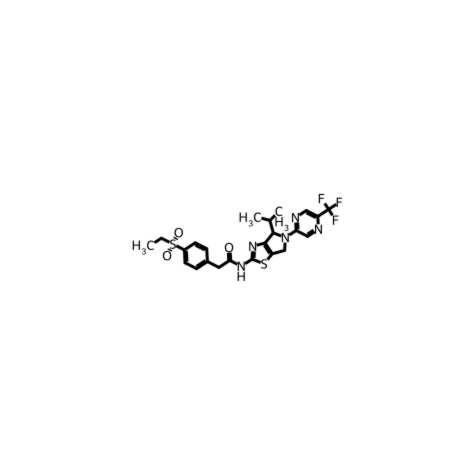 CCS(=O)(=O)c1ccc(CC(=O)Nc2nc3c(s2)CN(c2cnc(C(F)(F)F)cn2)C3C(C)C)cc1